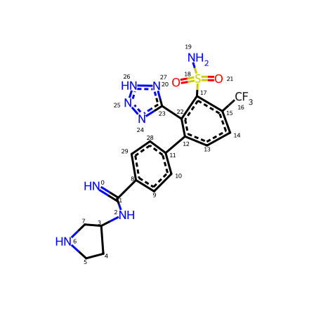 N=C(NC1CCNC1)c1ccc(-c2ccc(C(F)(F)F)c(S(N)(=O)=O)c2-c2nn[nH]n2)cc1